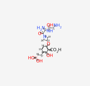 NCC(O)N[C@H](N)C(=O)N1CC(Oc2ccc(CCB(O)O)c(O)c2C(=O)O)C1